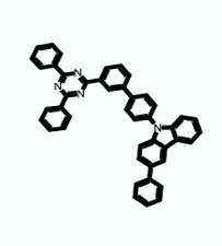 c1ccc(-c2ccc3c(c2)c2ccccc2n3-c2ccc(-c3cccc(-c4nc(-c5ccccc5)nc(-c5ccccc5)n4)c3)cc2)cc1